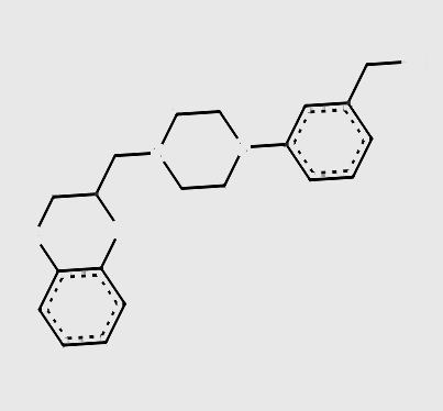 OCc1cccc(N2CCN(CC3COc4ccccc4O3)CC2)c1